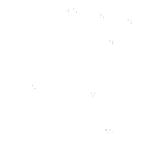 CCn1cc(-c2cccc(OC)c2)c2c(OC)cc(Cc3cnc(N)nc3N)cc21